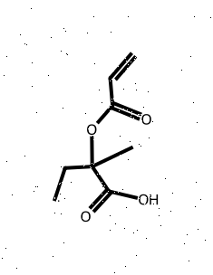 [CH2]CC(C)(OC(=O)C=C)C(=O)O